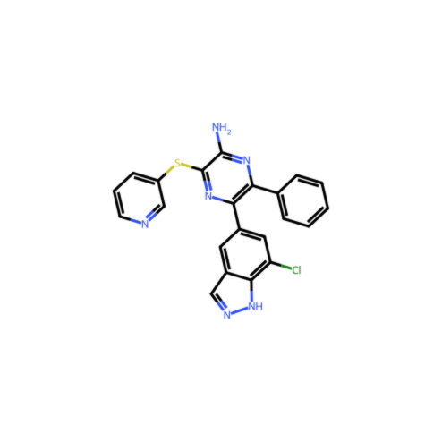 Nc1nc(-c2ccccc2)c(-c2cc(Cl)c3[nH]ncc3c2)nc1Sc1cccnc1